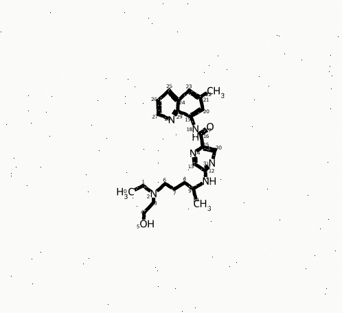 CCN(CCO)CCCC(C)Nc1cnc(C(=O)Nc2cc(C)cc3cccnc23)cn1